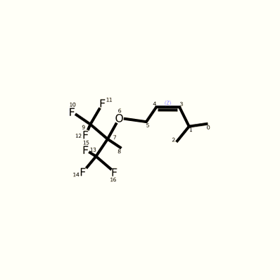 CC(C)/C=C\COC(C)(C(F)(F)F)C(F)(F)F